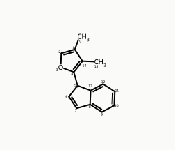 Cc1coc([C]2C=Cc3ccccc32)c1C